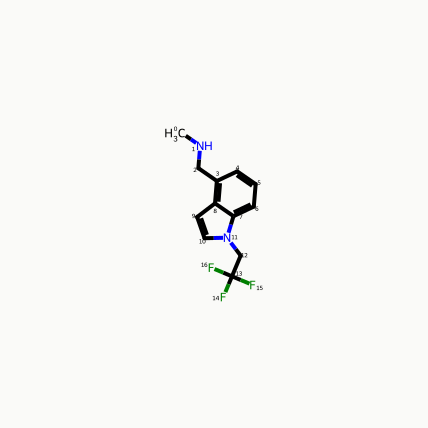 CNCc1cccc2c1ccn2CC(F)(F)F